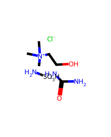 C[N+](C)(C)CCO.NC(N)=O.NS(=O)(=O)O.[Cl-]